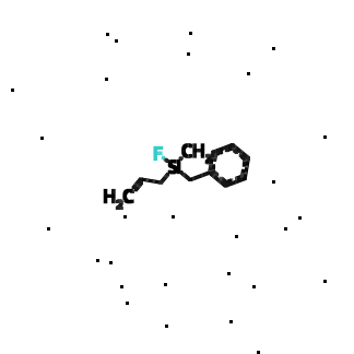 C=CC[Si](C)(F)Cc1ccccc1